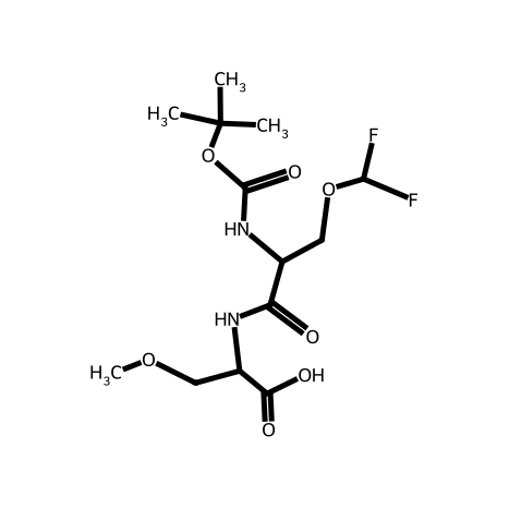 COCC(NC(=O)C(COC(F)F)NC(=O)OC(C)(C)C)C(=O)O